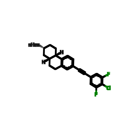 CCCCCC[C@@H]1CC[C@@H]2c3ccc(C#Cc4cc(F)c(Cl)c(F)c4)cc3CC[C@@H]2C1